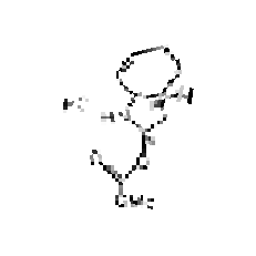 COC(=O)O[C@@H]1C[C@H]2CCC=CC2N1.Cl